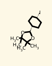 CC1(C)OC([C@H]2CC[C@@H](I)CC2)OC1(C)C